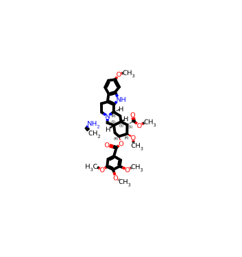 C=CN.COC(=O)[C@H]1[C@H]2C[C@@H]3c4[nH]c5cc(OC)ccc5c4CCN3C[C@H]2C[C@@H](OC(=O)c2cc(OC)c(OC)c(OC)c2)[C@@H]1OC